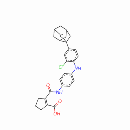 O=C(O)C1=C(C(=O)Nc2ccc(Nc3ccc(C45CC6CC(CC4C6)C5)cc3Cl)cc2)CCC1